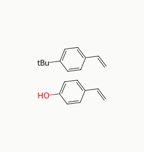 C=Cc1ccc(C(C)(C)C)cc1.C=Cc1ccc(O)cc1